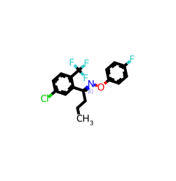 CCC/C(=N\Oc1ccc(F)cc1)c1cc(Cl)ccc1C(F)(F)F